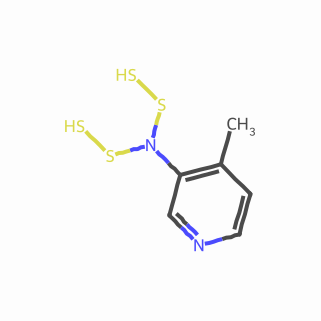 Cc1ccncc1N(SS)SS